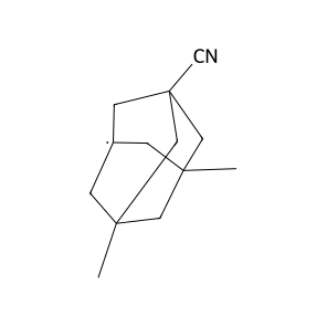 CC12C[C]3CC(C)(C1)CC(C#N)(C3)C2